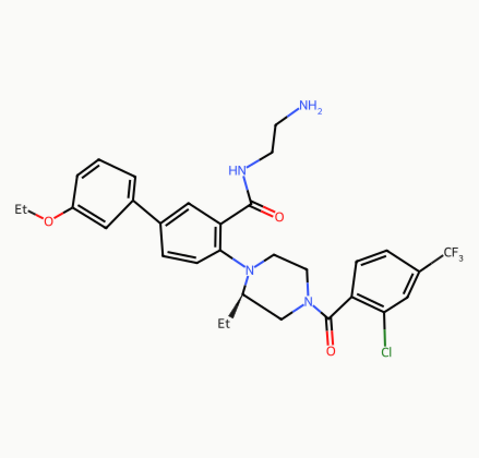 CCOc1cccc(-c2ccc(N3CCN(C(=O)c4ccc(C(F)(F)F)cc4Cl)C[C@H]3CC)c(C(=O)NCCN)c2)c1